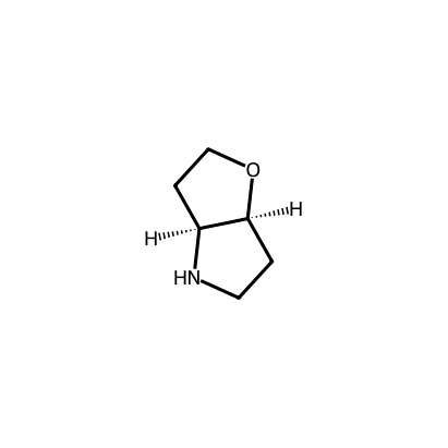 C1C[C@@H]2OCC[C@@H]2N1